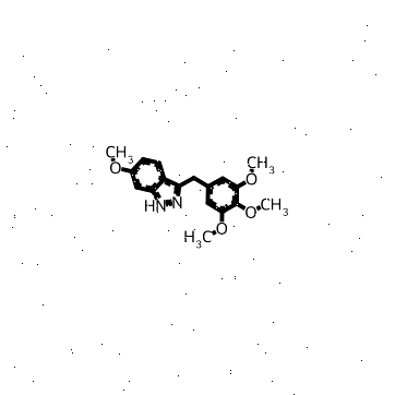 COc1ccc2c(Cc3cc(OC)c(OC)c(OC)c3)n[nH]c2c1